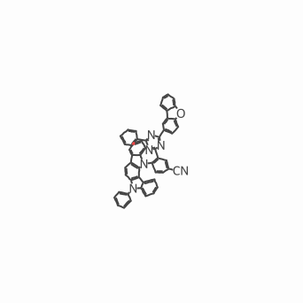 N#Cc1ccc(-n2c3ccccc3c3ccc4c(c5ccccc5n4-c4ccccc4)c32)c(-c2nc(-c3ccccc3)nc(-c3ccc4oc5ccccc5c4c3)n2)c1